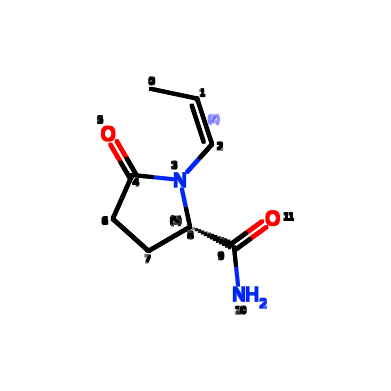 C/C=C\N1C(=O)CC[C@H]1C(N)=O